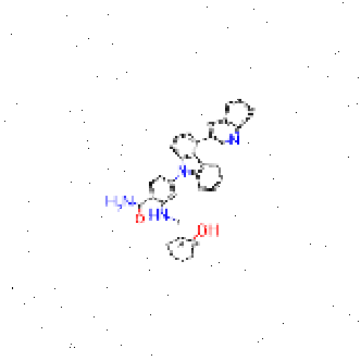 NC(=O)c1ccc(-n2c3ccccc3c3c(-c4cnc5ccccc5c4)cccc32)cc1NC[C@@H]1CCCC[C@@H]1O